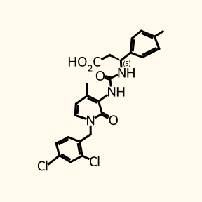 Cc1ccc([C@H](CC(=O)O)NC(=O)Nc2c(C)ccn(Cc3ccc(Cl)cc3Cl)c2=O)cc1